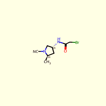 C[C@@H]1C[C@@H](NC(=O)CBr)CN1C#N